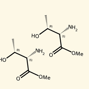 COC(=O)[C@@H](N)[C@@H](C)O.COC(=O)[C@@H](N)[C@@H](C)O